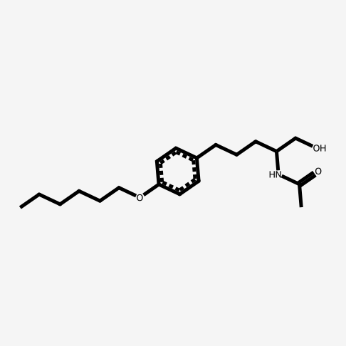 CCCCCCOc1ccc(CCCC(CO)NC(C)=O)cc1